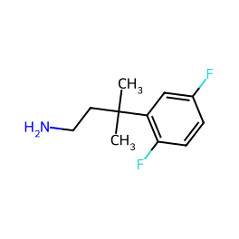 CC(C)(CCN)c1cc(F)ccc1F